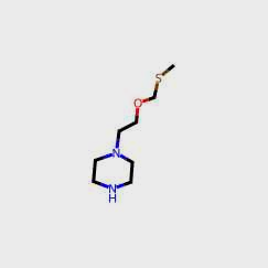 CSCOCCN1CCNCC1